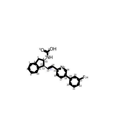 O=C(O)N[C@H]1Cc2ccccc2[C@@H]1/C=C/c1ccc(-c2cccc(F)c2)cn1